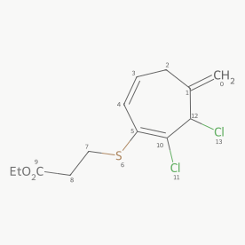 C=C1CC=CC(SCCC(=O)OCC)=C(Cl)C1Cl